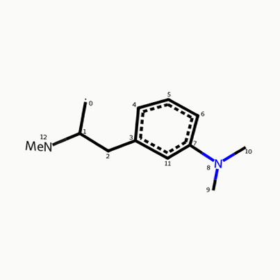 [CH2]C(Cc1cccc(N(C)C)c1)NC